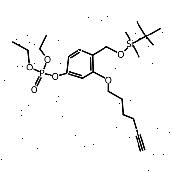 C#CCCCCOc1cc(OP(=O)(OCC)OCC)ccc1CO[Si](C)(C)C(C)(C)C